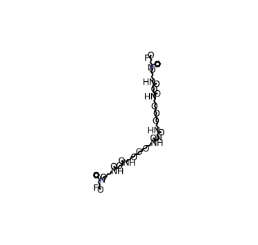 CN(CC(=O)NCCCOCCOCCOCCCNC(=O)COCC(=O)NCCCCO/N=C(/CCC(=O)F)c1ccccc1)CC(=O)NCCCOCCOCCOCCCNC(=O)COCC(=O)NCCCCO/N=C(/CCC(=O)F)c1ccccc1